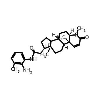 Cc1cccc(NC(=O)C[C@H]2CC[C@H]3[C@@H]4CC[C@H]5N(C)C(=O)C=C[C@]5(C)[C@H]4CC[C@]23C)c1N